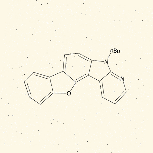 CCCCn1c2ccc3c4ccccc4oc3c2c2cccnc21